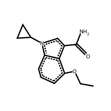 CCOc1c[c]cc2c1c(C(N)=O)cn2C1CC1